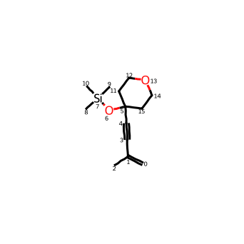 C=C(C)C#CC1(O[Si](C)(C)C)CCOCC1